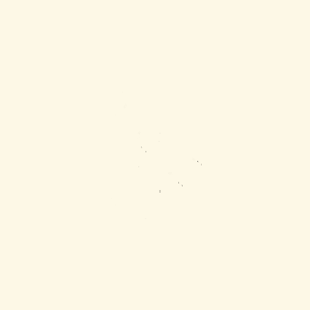 O=S(=O)(c1cccc(Cl)c1O)n1c(-c2cncnc2)cc2cc(Cl)ccc21